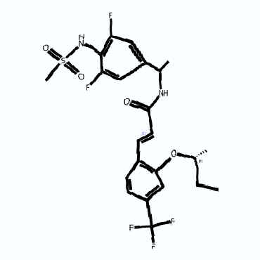 CC[C@@H](C)Oc1cc(C(F)(F)F)ccc1/C=C/C(=O)NC(C)c1cc(F)c(NS(C)(=O)=O)c(F)c1